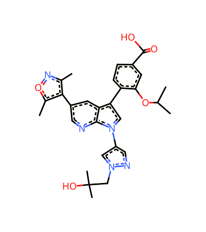 Cc1noc(C)c1-c1cnc2c(c1)c(-c1ccc(C(=O)O)cc1OC(C)C)cn2-c1cnn(CC(C)(C)O)c1